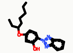 CCCCCC(CC)Oc1ccc(-n2nc3ccccc3n2)c(O)c1